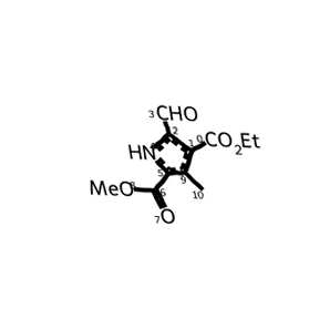 CCOC(=O)c1c(C=O)[nH]c(C(=O)OC)c1C